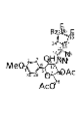 COc1ccc([C@@H]2O[C@H](COC(C)=O)[C@H](OC(C)=O)[C@H](n3cc(-c4cc(F)c(F)c(F)c4)nn3)[C@H]2O)cc1